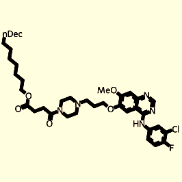 CCCCCCCCCCCCCCCCCOC(=O)CCC(=O)N1CCN(CCCOc2cc3c(Nc4ccc(F)c(Cl)c4)ncnc3cc2OC)CC1